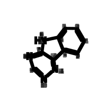 c1ccc2c(c1)[nH]c1ncnnc12